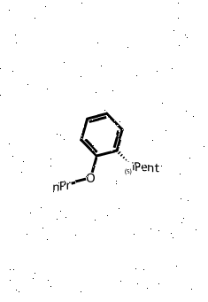 CCCOc1ccccc1[C@@H](C)CCC